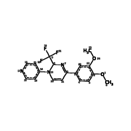 COc1ccc(C2=NC(C(F)(F)F)N(c3ccncc3)C=C2)cc1OC